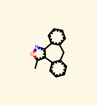 Cc1onc2c1-c1ccccc1Cc1ccccc1-2